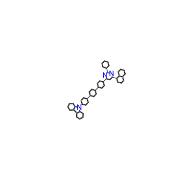 c1ccc(-c2nc(-c3ccc(-c4ccc(-c5ccc(-n6c7ccccc7c7ccccc76)cc5)cc4)cc3)cc(-c3cccc4ccccc34)n2)cc1